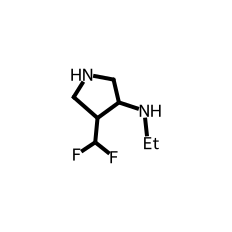 CCNC1CNCC1C(F)F